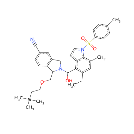 CCc1cc(C)c2c(ccn2S(=O)(=O)c2ccc(C)cc2)c1C(O)N1Cc2cc(C#N)ccc2C1COCC[Si](C)(C)C